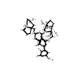 Nc1cc(F)c(F)c(-c2cc3c4c(nc(OC[C@@]56CCCN5C[C@H](F)C6)nc4c2F)N2C[C@H]4CC[C@H](N4)[C@@H]2CO3)c1